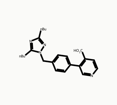 CCCCc1nc(CCCC)n(Cc2ccc(-c3cnccc3C(=O)O)cc2)n1